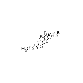 CCCCCC1CCC(c2ccc(OCCCBr)c(F)c2F)CC1